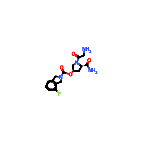 NCC(=O)N1C[C@H](OC(=O)N2Cc3cccc(F)c3C2)C[C@H]1C(N)=O